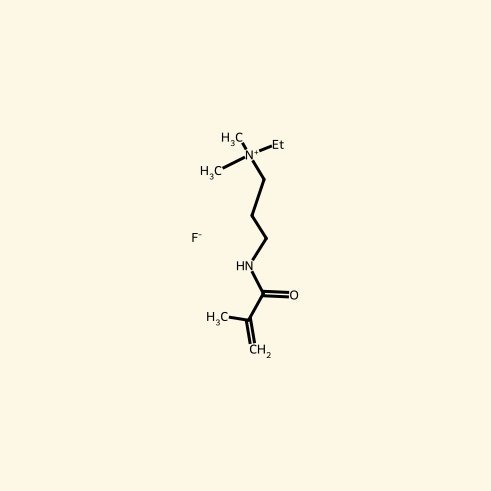 C=C(C)C(=O)NCCC[N+](C)(C)CC.[F-]